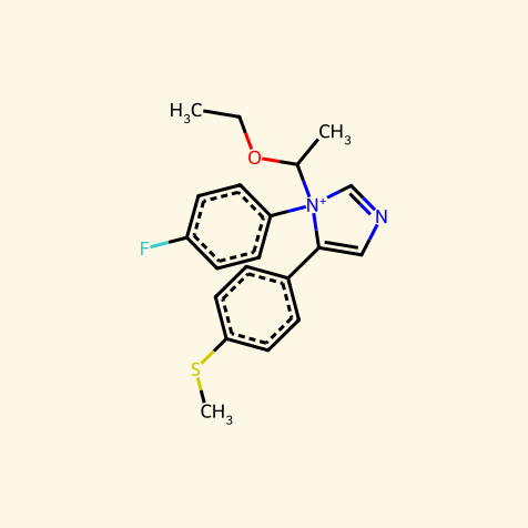 CCOC(C)[N+]1(c2ccc(F)cc2)C=NC=C1c1ccc(SC)cc1